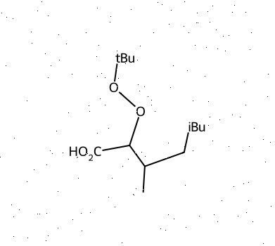 CCC(C)CC(C)C(OOC(C)(C)C)C(=O)O